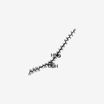 CCCCCCCCCCCCCCCCCC(=O)NCCCCC(C)(CCCCCCCCCCCCCC)C(=O)O